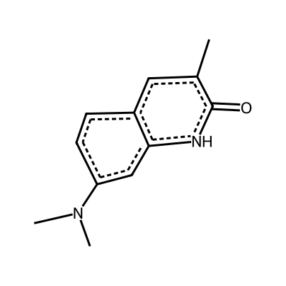 Cc1cc2ccc(N(C)C)cc2[nH]c1=O